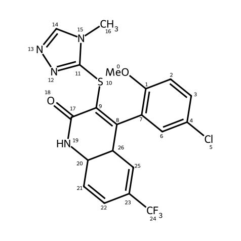 COc1ccc(Cl)cc1C1=C(Sc2nncn2C)C(=O)NC2C=CC(C(F)(F)F)=CC12